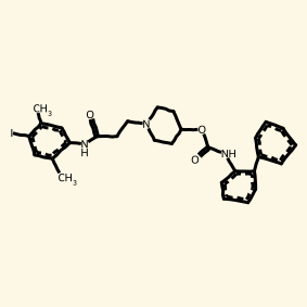 Cc1cc(NC(=O)CCN2CCC(OC(=O)Nc3ccccc3-c3ccccc3)CC2)c(C)cc1I